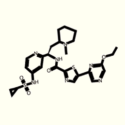 CCOc1cncc(-c2cnc(C(=O)N[C@H](CC3CCCCN3C)c3cc(NS(=O)(=O)C4CC4)ccn3)s2)n1